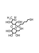 C[C@@H](O)C(O)[C@@H](O[C@@H]1OC(CS)[C@H](O)C(O)C1O)C(CO)OOCCCCCS